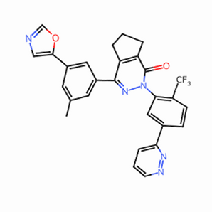 Cc1cc(-c2cnco2)cc(-c2nn(-c3cc(-c4cccnn4)ccc3C(F)(F)F)c(=O)c3c2CCC3)c1